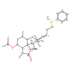 CC(=O)OC1CC(C)C(CC=C=CCC[S+]([O-])c2ccccc2)C2([Si](C)(C)C(C)(C)C)C1C(C)C(=O)[C@@H]2C